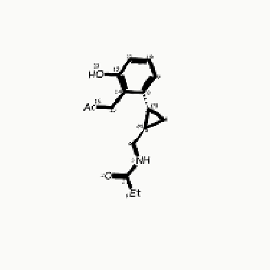 CCC(=O)NC[C@@H]1C[C@H]1c1cccc(O)c1CC(C)=O